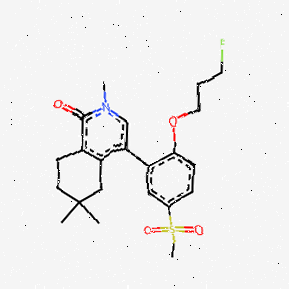 Cn1cc(-c2cc(S(C)(=O)=O)ccc2OCCCF)c2c(c1=O)CCC(C)(C)C2